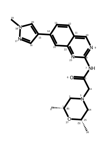 C[C@@H]1CN(CC(=O)Nc2ncc3ccc(-c4cnn(C)c4)cc3n2)C[C@H](C)O1